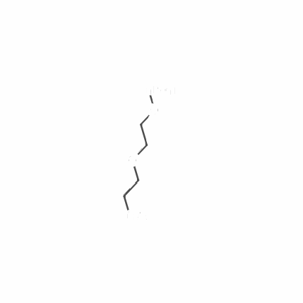 CCCCCOCCOCCOC(C)=O